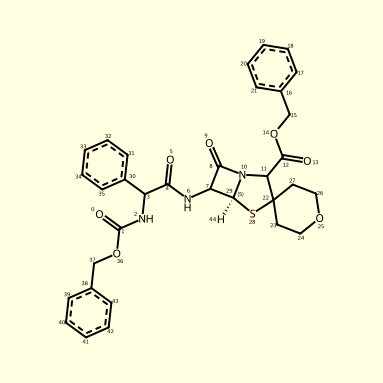 O=C(NC(C(=O)NC1C(=O)N2C(C(=O)OCc3ccccc3)C3(CCOCC3)S[C@@H]12)c1ccccc1)OCc1ccccc1